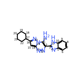 Nc1c(-c2nc3ccccc3[nH]2)nnc2cc(C3CCCCC3)nn12